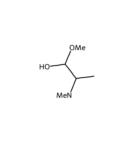 CNC(C)C(O)OC